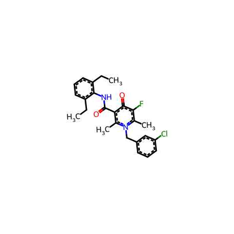 CCc1cccc(CC)c1NC(=O)c1c(C)n(Cc2cccc(Cl)c2)c(C)c(F)c1=O